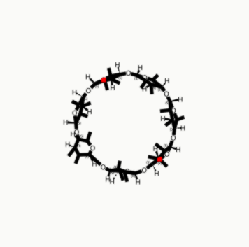 CC1[C@@H]2OC(C)[C@@H](O[C@H]3OC(C)[C@@H](O[C@@H]4OC(C)[C@@H](O[C@@H]5OC(C)[C@@H](O[C@@H]6OC(C)[C@@H](O[C@@H]7OC(C)[C@@H](O[C@@H]8OC(C)[C@@H](O2)[C@H](C)C8C)[C@H](C)C7C)[C@H](C)C6C)[C@H](C)C5C)[C@H](C)C4C)[C@H](C)C3C)[C@@H]1C